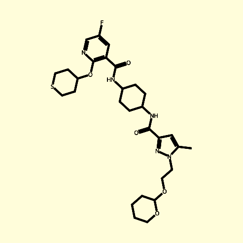 Cc1cc(C(=O)NC2CCC(NC(=O)c3cc(F)cnc3OC3CCSCC3)CC2)nn1CCOC1CCCCO1